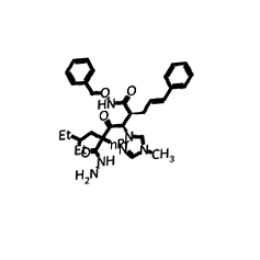 CCCC(CC(CC)CC)(C(=O)NN)C(=O)[C@@H]([C@H](C/C=C/c1ccccc1)C(=O)NOCc1ccccc1)N1CN(C)C=N1